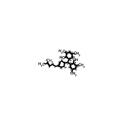 CC(C)=CCCC1=CCC(C(c2cc(C)cc(C)c2O)c2cc(C)cc(C)c2O)CC1